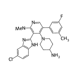 CNc1ncc(-c2cc(C)cc(F)c2)c(N2CCC(N)CC2)c1-c1nc2cc(Cl)ccc2[nH]1